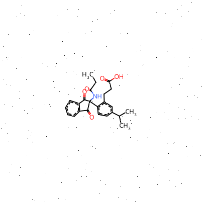 CCC(=O)NC1(c2ccc(C(C)C)cc2CCC(=O)O)C(=O)c2ccccc2C1=O